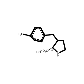 Cl.O=C(O)[C@H]1NCCC1Cc1ccc(C(F)(F)F)cc1